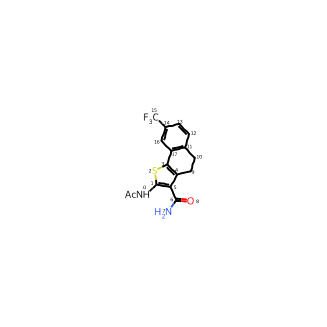 CC(=O)Nc1sc2c(c1C(N)=O)CCc1ccc(C(F)(F)F)cc1-2